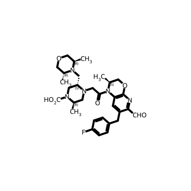 C[C@@H]1CN(CC(=O)N2c3cc(Cc4ccc(F)cc4)c(C=O)nc3OC[C@@H]2C)[C@@H](CN2[C@H](C)COC[C@H]2C)CN1C(=O)O